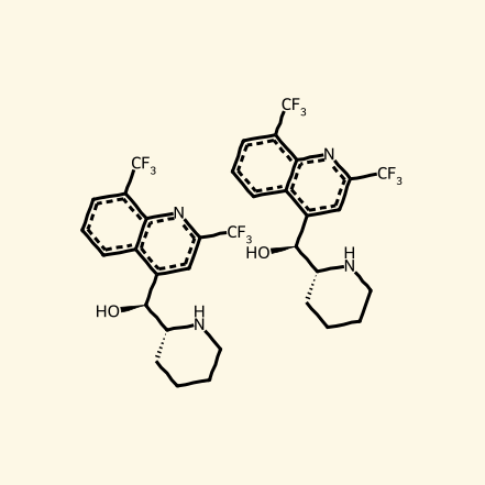 O[C@@H](c1cc(C(F)(F)F)nc2c(C(F)(F)F)cccc12)[C@H]1CCCCN1.O[C@@H](c1cc(C(F)(F)F)nc2c(C(F)(F)F)cccc12)[C@H]1CCCCN1